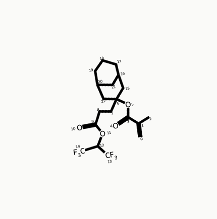 C=C(C)C(=O)OC1(CCC(=O)OC(C(F)(F)F)C(F)(F)F)CC2CCCC(C2)C1